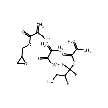 C=C(C)C(=O)OC.C=C(C)C(=O)OC(F)(F)C(F)CC(F)(F)F.C=C(C)C(=O)OCC1CO1